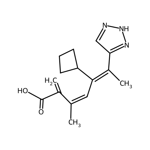 C=C(C(=O)O)/C(C)=C\C(=C(/C)c1cn[nH]n1)C1CCC1